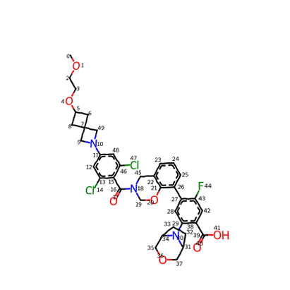 COCCOC1CC2(C1)CN(c1cc(Cl)c(C(=O)N3COc4c(cccc4-c4cc(N5C6CCC5COC6)c(C(=O)O)cc4F)C3)c(Cl)c1)C2